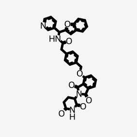 O=C1CCC(N2C(=O)c3cccc(OCc4ccc(CC(=O)NC(c5cccnc5)c5cc6ccccc6o5)cc4)c3C2=O)C(=O)N1